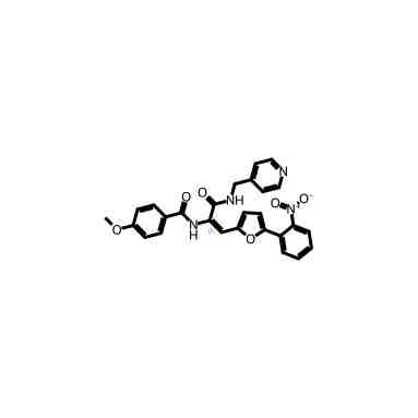 COc1ccc(C(=O)N/C(=C/c2ccc(-c3ccccc3[N+](=O)[O-])o2)C(=O)NCc2ccncc2)cc1